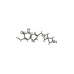 CCc1cc2ncc(CN3CC4(CNC4)C3)cc2[nH]c1=O